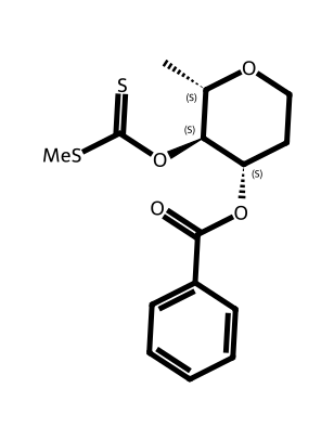 CSC(=S)O[C@H]1[C@H](C)OCC[C@@H]1OC(=O)c1ccccc1